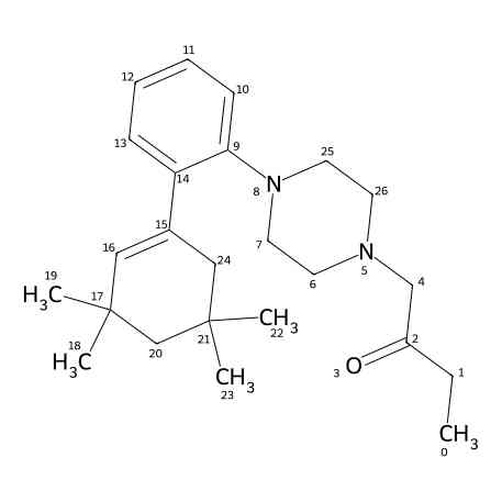 CCC(=O)CN1CCN(c2ccccc2C2=CC(C)(C)CC(C)(C)C2)CC1